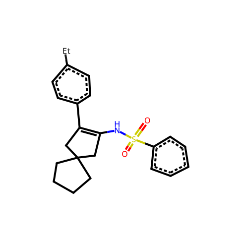 CCc1ccc(C2=C(NS(=O)(=O)c3ccccc3)CC3(CCCC3)C2)cc1